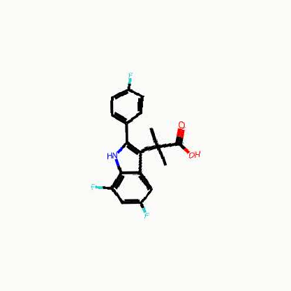 CC(C)(C(=O)O)c1c(-c2ccc(F)cc2)[nH]c2c(F)cc(F)cc12